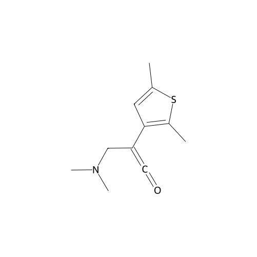 Cc1cc(C(=C=O)CN(C)C)c(C)s1